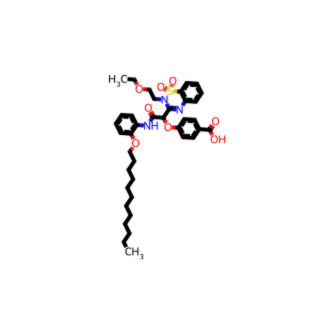 CCCCCCCCCCCCOc1ccccc1NC(=O)C(Oc1ccc(C(=O)O)cc1)C1=Nc2ccccc2S(=O)(=O)N1CCOCC